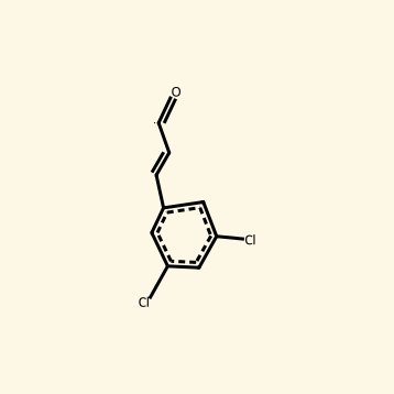 O=[C]/C=C/c1cc(Cl)cc(Cl)c1